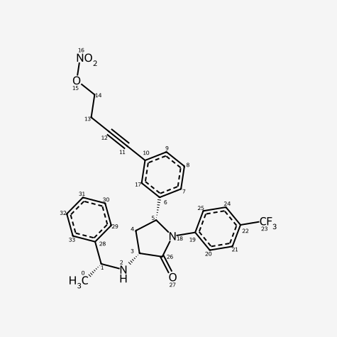 C[C@@H](N[C@@H]1C[C@H](c2cccc(C#CCCO[N+](=O)[O-])c2)N(c2ccc(C(F)(F)F)cc2)C1=O)c1ccccc1